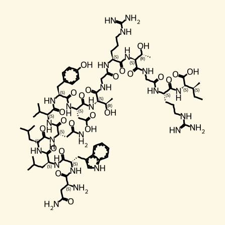 CC[C@H](C)[C@H](NC(=O)[C@H](CCCNC(=N)N)NC(=O)CNC(=O)[C@@H](NC(=O)[C@H](CCCNC(=N)N)NC(=O)CNC(=O)[C@@H](NC(=O)[C@H](CC(=O)O)NC(=O)[C@H](Cc1ccc(O)cc1)NC(=O)[C@@H](NC(=O)[C@H](CC(N)=O)NC(=O)[C@H](CC(C)C)NC(=O)[C@H](CC(C)C)NC(=O)[C@H](Cc1c[nH]c2ccccc12)NC(=O)[C@@H](N)CC(N)=O)C(C)C)[C@@H](C)O)[C@@H](C)O)C(=O)O